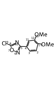 COc1ccc(-c2noc(Cl)n2)cc1OC